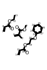 C=C(C)C(=O)OC.C=CC(=O)OCC.C=CC(=O)OCCOc1ccccc1